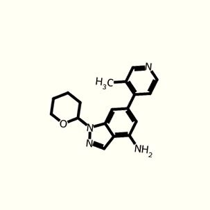 Cc1cnccc1-c1cc(N)c2cnn(C3CCCCO3)c2c1